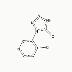 O=c1[nH]nnn1-c1cnccc1Cl